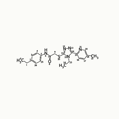 CCc1ccc(NC(=O)CSc2nnc(-c3ccc(C)cn3)n2CC)cc1